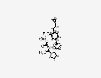 C=C(NC(=O)OC(C)(C)C)N1CCC[C@H]1c1nc(-c2ccc(CCC3CC3)c(C(F)(F)F)c2)no1